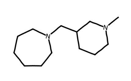 CN1CCCC(CN2CCCCCC2)C1